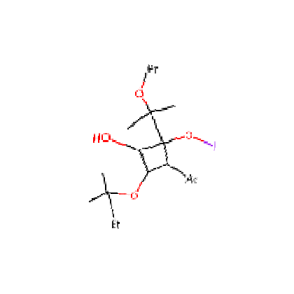 CCC(C)(C)OC1C(O)C(OI)(C(C)(C)OC(C)C)C1C(C)=O